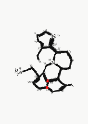 Cc1cccnc1C1CCCC(c2ncccc2C)N1Cc1ccccc1CN